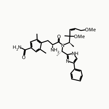 COC/C=C\C(C)(OC)[C@@H](C)N(C(=O)[C@@H](N)Cc1c(C)cc(C(N)=O)cc1C)[C@@H](C)c1nc(-c2ccccc2)c[nH]1